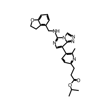 Cc1nc(CCC(=O)OC(C)C)ccc1-c1cnc(NCc2cccc3c2CCO3)n2cnnc12